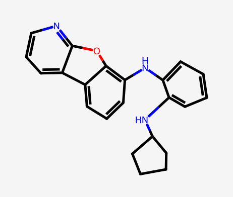 c1ccc(NC2CCCC2)c(Nc2cccc3c2oc2ncccc23)c1